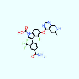 CC1Cc2c(ncnc2Oc2ccc3c(c(-c4ccc(C(N)=O)cc4C(F)(F)F)cn3C(=O)O)c2F)CN1